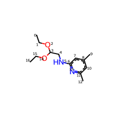 CCOC(CNc1cc(C)cc(C)n1)OCC